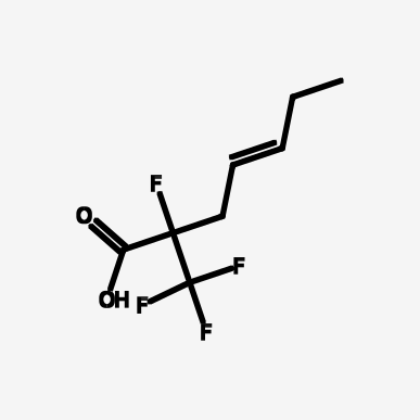 CC/C=C/CC(F)(C(=O)O)C(F)(F)F